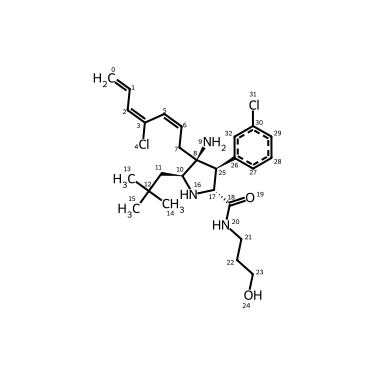 C=C/C=C(Cl)\C=C/C[C@@]1(N)[C@H](CC(C)(C)C)N[C@@H](C(=O)NCCCO)[C@@H]1c1cccc(Cl)c1